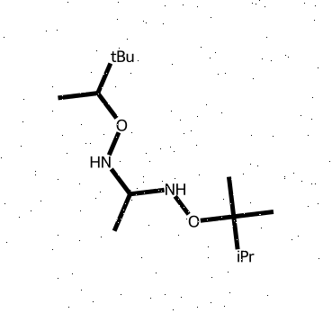 C[C](NOC(C)C(C)(C)C)NOC(C)(C)C(C)C